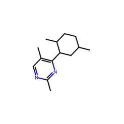 Cc1ncc(C)c(C2CC(C)CCC2C)n1